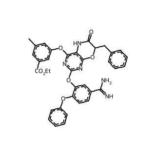 CCOC(=O)c1cc(C)cc(Oc2nc(Oc3cc(C(=N)N)ccc3Oc3ccccc3)nc3c2NC(=O)C(Cc2ccccc2)O3)c1